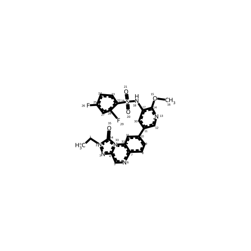 CCn1nc2cnc3ccc(-c4cnc(OC)c(NS(=O)(=O)c5ccc(F)cc5F)c4)cc3n2c1=O